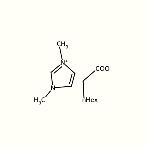 CCCCCCCC(=O)[O-].Cn1cc[n+](C)c1